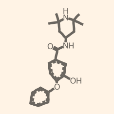 CC1(C)CC(NC(=O)c2ccc(Oc3ccccc3)c(O)c2)CC(C)(C)N1